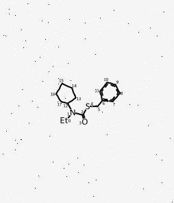 CCN(C(=O)SCc1ccccc1)C1CCCCC1